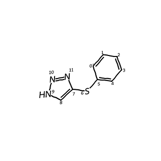 [c]1ccccc1Sc1c[nH]nn1